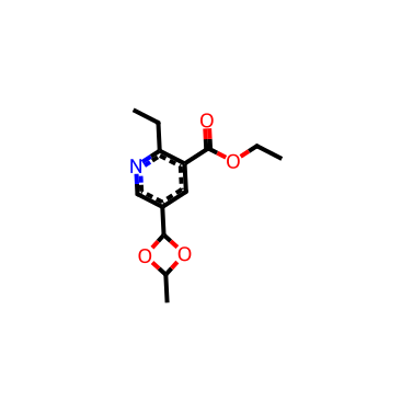 CCOC(=O)c1cc(C2OC(C)O2)cnc1CC